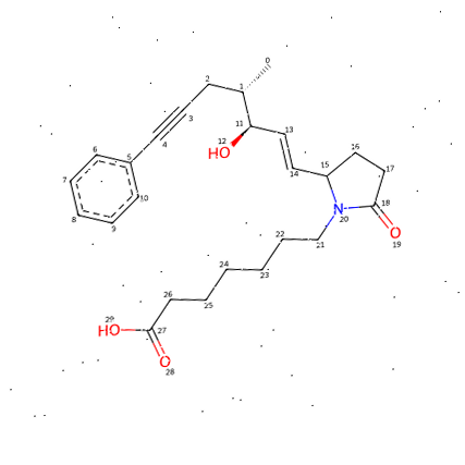 C[C@@H](CC#Cc1ccccc1)[C@H](O)C=CC1CCC(=O)N1CCCCCCC(=O)O